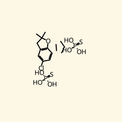 CC.CC1(C)Cc2cc(Cl)ccc2O1.CCC.OP(O)(O)=S.OP(O)(O)=S